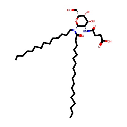 CCCCCCCCCCCCCCCCCC(=O)N(CCCCCCCCCCCCCC)[C@@H]1O[C@H](CO)[C@H](O)[C@H](O)[C@@H]1NC(=O)CCC(=O)O